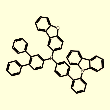 c1ccc(-c2ccc(N(c3ccc(-c4ccccc4-n4c5ccccc5c5ccccc54)cc3)c3ccc4oc5ccccc5c4c3)cc2-c2ccccc2)cc1